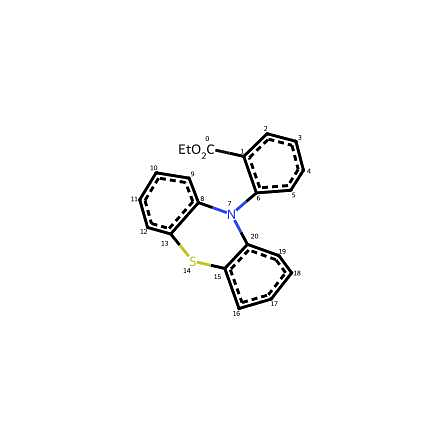 CCOC(=O)c1ccccc1N1c2ccccc2Sc2ccccc21